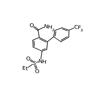 CCS(=O)(=O)Nc1ccc(C(N)=O)c(-c2ccc(C(F)(F)F)cc2)c1